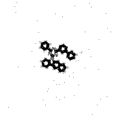 c1ccc(-c2cccc(-c3nc(-c4ccccc4)nc(-n4c5c(c6cc7ccccc7cc64)CCCC5)n3)c2)cc1